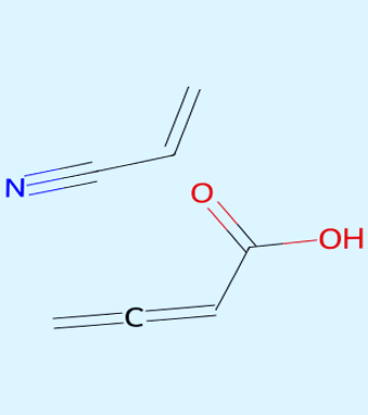 C=C=CC(=O)O.C=CC#N